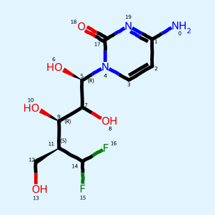 Nc1ccn([C@H](O)C(O)[C@H](O)[C@H](CO)C(F)F)c(=O)n1